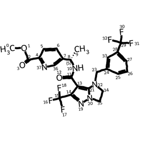 COC(=O)c1ccc([C@H](C)NC(=O)c2c(C(F)(F)F)nn3c2N(Cc2cccc(C(F)(F)F)c2)CC3)cn1